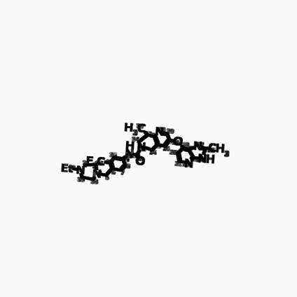 CCN1CCN(Cc2ccc(NC(=O)N3Cc4cc(Oc5ccnc6[nH]c(C)nc56)cnc4C(C)C3)cc2C(F)(F)F)CC1